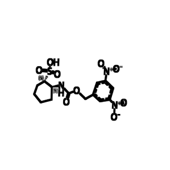 O=C(N[C@H]1CCCC[C@@H]1S(=O)(=O)O)OCc1cc([N+](=O)[O-])cc([N+](=O)[O-])c1